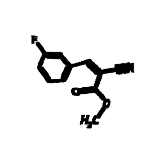 COC(=O)C(C#N)=Cc1cccc(F)c1